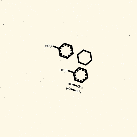 C1CCCCC1.CO.CO.O=C(O)c1ccccc1.O=C(O)c1ccccc1